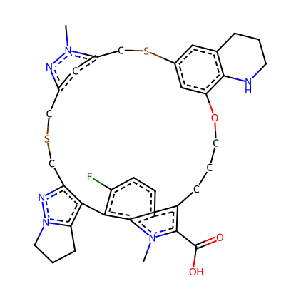 Cn1nc2cc1CSc1cc3c(c(c1)OCCCc1c(C(=O)O)n(C)c4c(c(F)ccc14)-c1c(nn4c1CCC4)CSC2)NCCC3